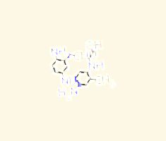 Cc1cc(N)ccc1NCCO.Nc1ccc(N)c(CC=O)c1